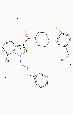 Cc1cccc2c(C(=O)N3CCC(c4cc(CN)ccc4F)CC3)cn(CCCc3cccnc3)c12